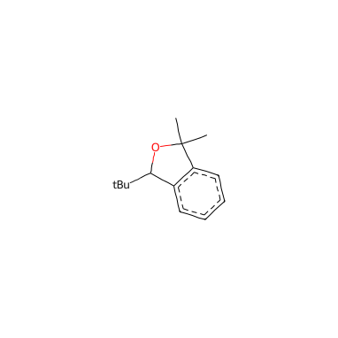 CC1(C)OC(C(C)(C)C)c2ccccc21